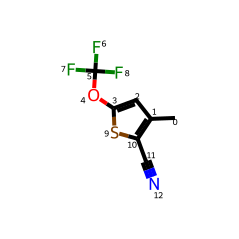 Cc1cc(OC(F)(F)F)sc1C#N